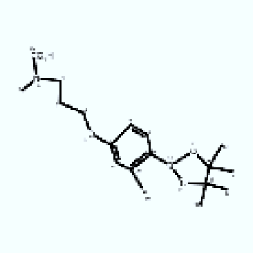 CN(CCCOc1ccc(B2OC(C)(C)C(C)(C)O2)c(F)c1)C(=O)O